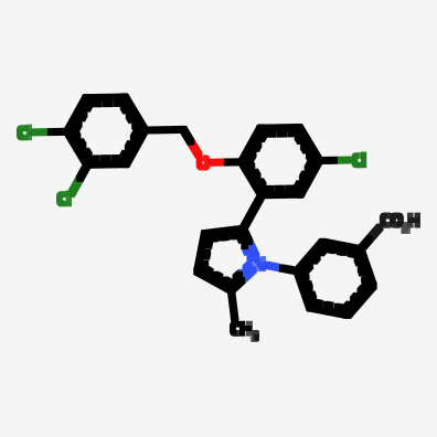 Cc1ccc(-c2cc(Cl)ccc2OCc2ccc(Cl)c(Cl)c2)n1-c1cccc(C(=O)O)c1